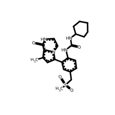 Cc1cc(-c2cc(CS(C)(=O)=O)ccc2NC(=O)NC2CCCCC2)n2cc[nH]c(=O)c12